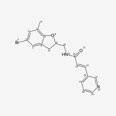 Cc1cc(Br)cc2c1OC(CNC(=O)C=Cc1cccnc1)C2